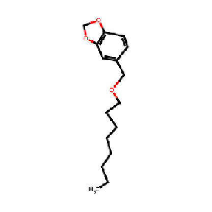 CCCCCCCCOCc1ccc2c(c1)OCO2